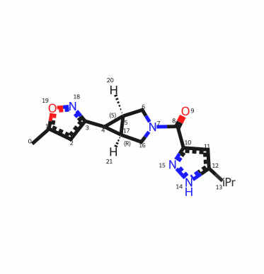 Cc1cc(C2[C@H]3CN(C(=O)c4cc(C(C)C)[nH]n4)C[C@@H]23)no1